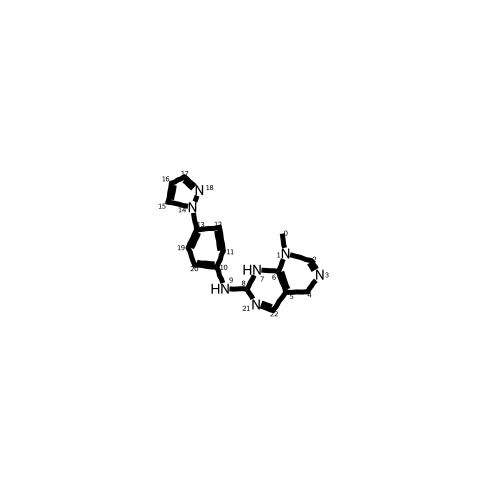 CN1C=NCC2=C1NC(Nc1ccc(-n3cccn3)cc1)N=C2